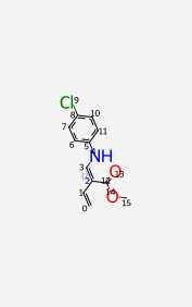 C=C/C(=C/Nc1ccc(Cl)cc1)C(=O)OC